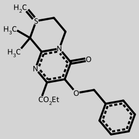 C=S1CCn2c(nc(C(=O)OCC)c(OCc3ccccc3)c2=O)C1(C)C